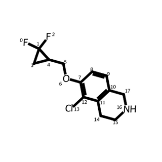 FC1(F)CC1COc1ccc2c(c1Cl)CCNC2